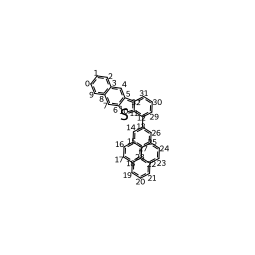 c1ccc2cc3c(cc2c1)sc1c(-c2cc4ccc5cccc6ccc(c2)c4c56)cccc13